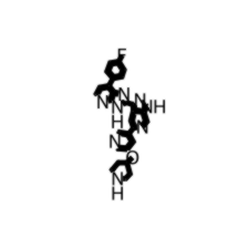 Fc1ccc(-c2ccnc3[nH]c(-c4n[nH]c5cnc(-c6cncc(OC7CCNCC7)c6)cc45)nc23)cc1